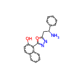 NC(Cc1nnc(-c2c(O)ccc3ccccc23)o1)c1ccccc1